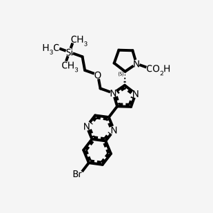 C[Si](C)(C)CCOCn1c(-c2cnc3cc(Br)ccc3n2)cnc1[C@@H]1CCCN1C(=O)O